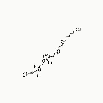 O=C(NCCOCCOCCCCCCCl)OCCOC(F)(F)C#CCl